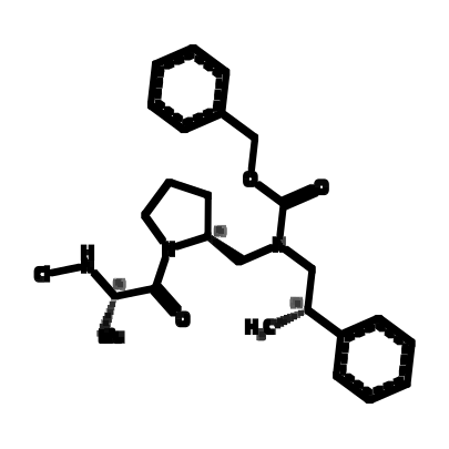 C[C@H](CN(C[C@@H]1CCCN1C(=O)[C@@H](NCl)C(C)(C)C)C(=O)OCc1ccccc1)c1ccccc1